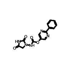 O=C1CN(NC(=O)Oc2cnc(-c3ccccc3)nc2)C(=O)N1